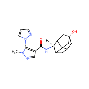 Cn1ncc(C(=O)N[C@H]2C3CC4CC2C[C@](O)(C4)C3)c1-n1cccn1